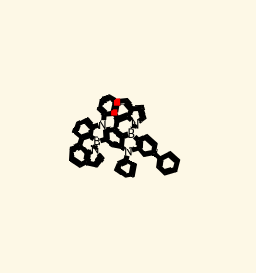 c1ccc(-c2ccc3c(c2)N(c2ccccc2)c2cc4c(c5c2B3n2ccc3cccc-5c32)N(c2ccccc2)c2cccc3c2B4n2ccc4cccc-3c42)cc1